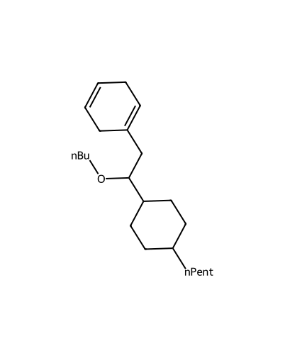 CCCCCC1CCC(C(CC2=CCC=CC2)OCCCC)CC1